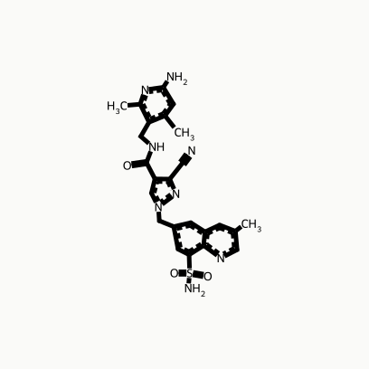 Cc1cnc2c(S(N)(=O)=O)cc(Cn3cc(C(=O)NCc4c(C)cc(N)nc4C)c(C#N)n3)cc2c1